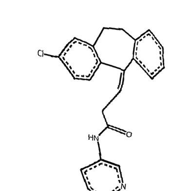 O=C(C/C=C1/c2ccccc2CCc2cc(Cl)ccc21)Nc1cccnc1